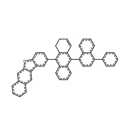 C1=Cc2c(c(-c3ccc4oc5cc6ccccc6cc5c4c3)c3ccccc3c2-c2ccc(-c3ccccc3)c3ccccc23)CC1